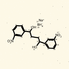 O=[N+]([O-])c1cccc(C(O)CCC(O)c2cccc([N+](=O)[O-])c2)c1.[BH4-].[Na+]